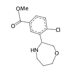 COC(=O)c1ccc(Cl)c(C2COCCCN2)c1